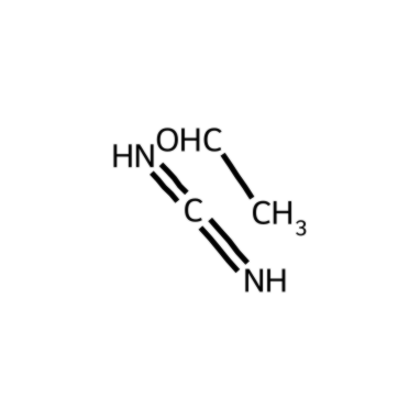 CC=O.N=C=N